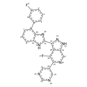 Fc1cccc(-c2cccc3[nH]c(-c4n[nH]c5cnc(-c6cncnc6)c(F)c45)nc23)c1